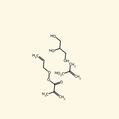 C=C(C)C(=O)O.C=CCOOC(=O)C(=C)C.OCC(O)CO